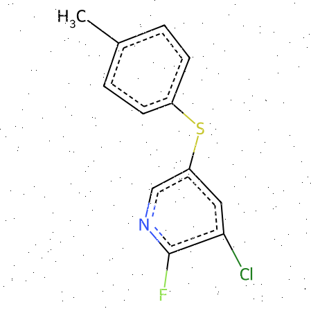 Cc1ccc(Sc2cnc(F)c(Cl)c2)cc1